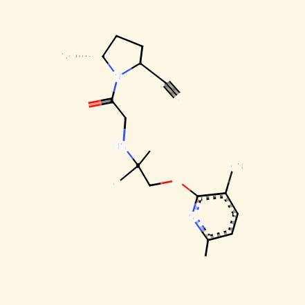 C#CC1CC[C@@H](C#N)N1C(=O)CNC(C)(C)COc1nc(C)ccc1C#N